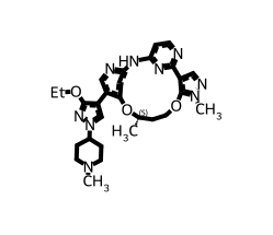 CCOc1nn(C2CCN(C)CC2)cc1-c1cnc2cc1O[C@@H](C)CCOc1c(cnn1C)-c1nccc(n1)N2